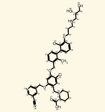 Cc1c(COc2cc(OCc3cncc(C#N)c3)c(CN3CCCC[C@H]3C(=O)O)cc2Cl)cccc1-c1cccc(OCCCNC[C@H](O)CO)c1Cl